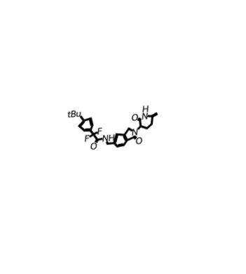 C=C1CCC(N2Cc3cc(CNC(=O)C(F)(F)c4ccc(C(C)(C)C)cc4)ccc3C2=O)C(=O)N1